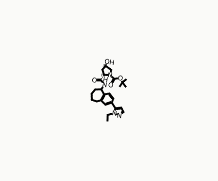 CCn1nccc1-c1ccc2c(c1)CCCCC2NC(=O)[C@@H]1C[C@@H](O)CN1C(=O)OC(C)(C)C